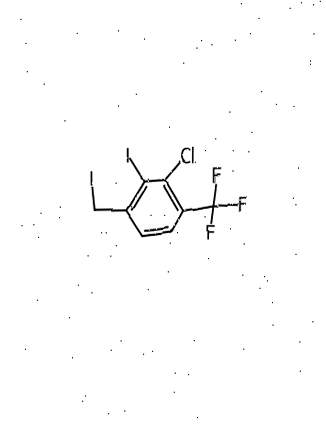 FC(F)(F)c1ccc(CI)c(I)c1Cl